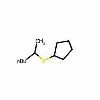 [CH2]CCCC(C)SC1CCCC1